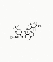 CCC1CCN(C(=O)C(NC(=O)O)C(C)(C)C)C1C(=O)NC(CCC(C)(F)F)C(=O)C(=O)NC1CC1